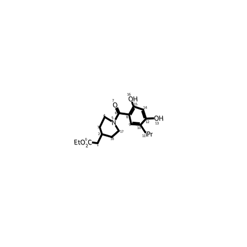 CCOC(=O)CC1CCN(C(=O)c2cc(C(C)C)c(O)cc2O)CC1